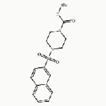 CC(C)(C)OC(=O)N1CCN(S(=O)(=O)c2ccc3ccccc3c2)CC1